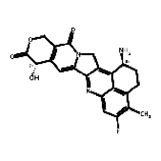 Cc1c(F)cc2nc3c(c4c2c1CC[C@@H]4N)Cn1c-3cc2c(c1=O)COC(=O)[C@H]2O